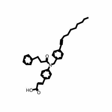 CCCCCCCCC#Cc1ccc(CN(C(=O)CCc2ccccc2)c2ccc(C=CC(=O)O)cc2)cc1